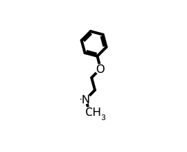 C[N]CCOc1ccccc1